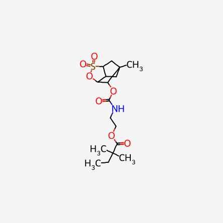 CCC(C)(C)C(=O)OCCNC(=O)OC1C2OS(=O)(=O)C3CC1(C)CC23